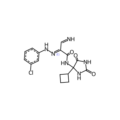 N=C/C(=N\Nc1cccc(Cl)c1)C(=O)NC1(C2CCC2)NC(=O)NC1=O